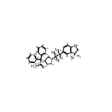 [2H]C1([2H])COc2ccc(C([2H])([2H])C([2H])([2H])N3CC[C@@H](C(C(N)=O)(c4ccccc4)c4ccccc4)C3)cc21